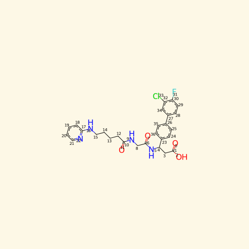 O=C(O)CC(NC(=O)CNC(=O)CCCCNc1ccccn1)c1ccc(-c2ccc(F)c(Cl)c2)cc1